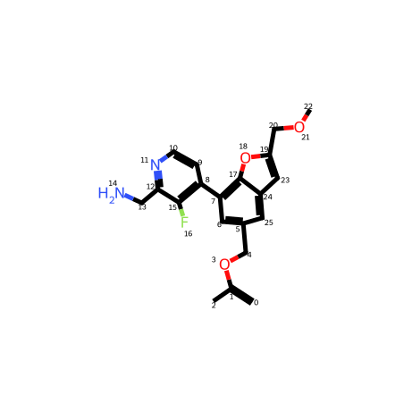 C=C(C)OCc1cc(-c2ccnc(CN)c2F)c2oc(COC)cc2c1